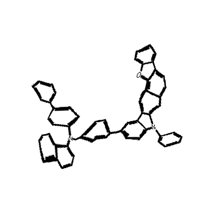 c1ccc(-c2ccc(N(c3ccc(-c4ccc5c(c4)c4cc6c(ccc7c8ccccc8oc67)cc4n5-c4ccccc4)cc3)c3cccc4ccccc34)cc2)cc1